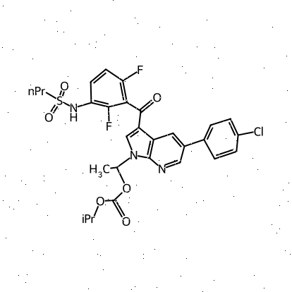 CCCS(=O)(=O)Nc1ccc(F)c(C(=O)c2cn(C(C)OC(=O)OC(C)C)c3ncc(-c4ccc(Cl)cc4)cc23)c1F